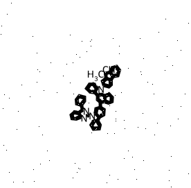 CC1(C)c2ccccc2-c2ccc(-n3c4ccccc4c4cc(-c5ccc6c7ccccc7n(-c7nc(-c8ccccc8)c8ccccc8n7)c6c5)c5ccccc5c43)cc21